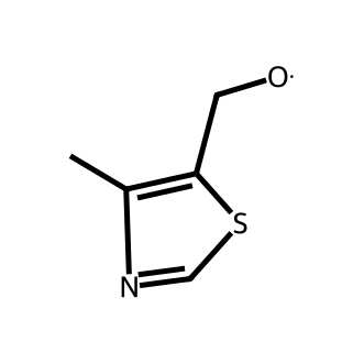 Cc1ncsc1C[O]